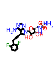 Nc1ncnc2c1c(C#CCc1c(F)cccc1F)cn2[C@@H]1O[C@H](CNS(N)(=O)=O)[C@@H](O)[C@H]1O